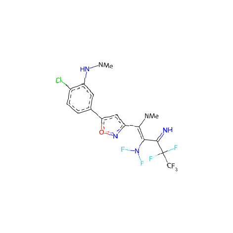 CNNc1cc(-c2cc(/C(NC)=C(/C(=N)C(F)(F)C(F)(F)F)N(F)F)no2)ccc1Cl